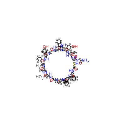 CCCC[C@H]1C(=O)N(C)CC(=O)N[C@@H](CC(=O)O)C(=O)N[C@@H](C(C)C)C(=O)N(C)[C@@H](Cc2ccccc2)C(=O)N[C@@H](Cc2ccc(O)cc2)C(=O)N(C)CC(=O)N[C@@H](Cc2c[nH]c3ccccc23)C(=O)N[C@H](Cc2ccc(O)cc2)C(=O)N[C@@H](CC(C)C)C(=O)N[C@H](C(=O)NCC(N)=O)CSCC(=O)N[C@@H](Cc2ccccc2)C(=O)N(C)[C@@H](Cc2ccccc2)C(=O)N1C